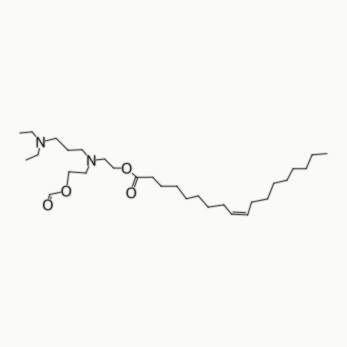 CCCCCCCC/C=C\CCCCCCCC(=O)OCCN(CCCN(CC)CC)CCOC=O